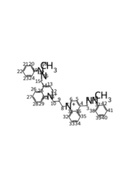 CN(/N=C/c1cc[n+](CCC[n+]2ccc(/C=N/N(C)c3ccccc3)c3ccccc32)c2ccccc12)c1ccccc1